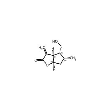 C=C1C(=O)O[C@H]2C[C@H](C)[C@@H](CO)[C@@H]12